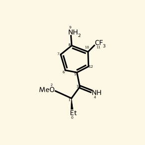 CC[C@@H](OC)C(=N)c1ccc(N)c(C(F)(F)F)c1